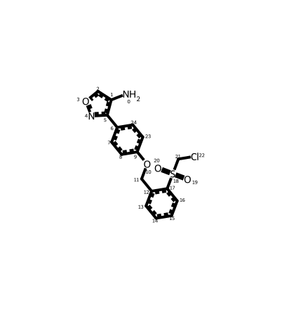 Nc1conc1-c1ccc(OCc2ccccc2S(=O)(=O)CCl)cc1